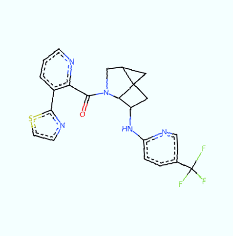 O=C(c1ncccc1-c1nccs1)N1CC2CC23CC(Nc2ccc(C(F)(F)F)cn2)C13